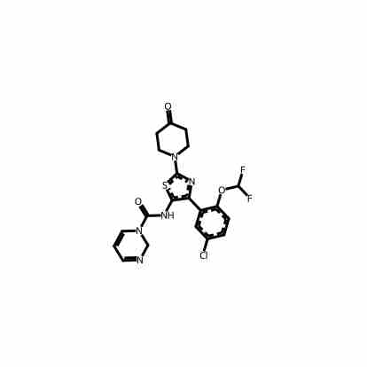 O=C1CCN(c2nc(-c3cc(Cl)ccc3OC(F)F)c(NC(=O)N3C=CC=NC3)s2)CC1